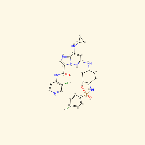 O=C(Nc1ccncc1F)c1cnc2c(NC3CC3)cc(NC3CCC(NS(=O)(=O)c4ccc(F)cc4)CC3)nn12